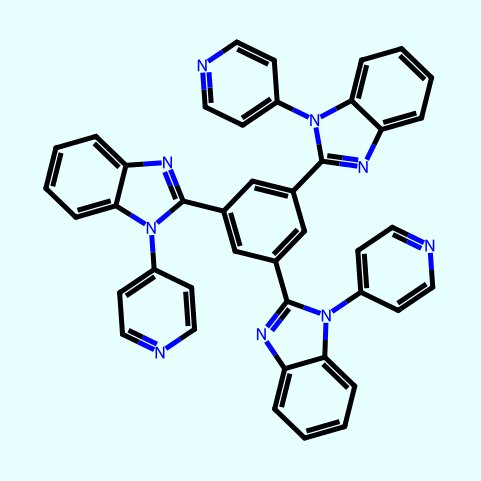 c1ccc2c(c1)nc(-c1cc(-c3nc4ccccc4n3-c3ccncc3)cc(-c3nc4ccccc4n3-c3ccncc3)c1)n2-c1ccncc1